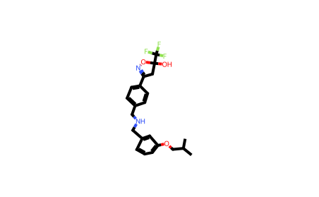 CC(C)COc1cccc(CNCc2ccc(C3=NOC(O)(C(F)(F)F)C3)cc2)c1